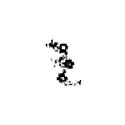 O=C(O)c1cccc(COc2cccc(N(Cc3cccc(OC(F)(F)C(F)F)c3)CC(O)C(F)(F)F)c2)c1